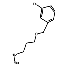 CCc1cccc(COCCCNC(C)(C)C)c1